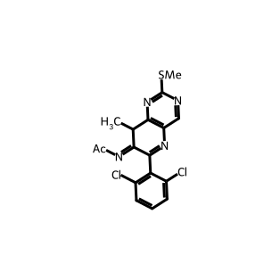 CSc1ncc2c(n1)C(C)C(=NC(C)=O)C(c1c(Cl)cccc1Cl)=N2